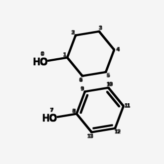 OC1CCCCC1.Oc1ccccc1